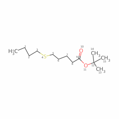 CCCCSCCCCC(=O)OC(C)(C)C